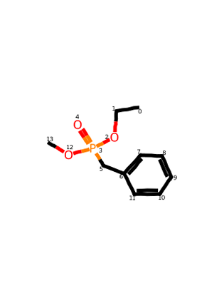 CCOP(=O)(Cc1cc[c]cc1)OC